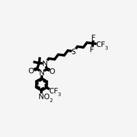 CC1(C)C(=O)N(c2ccc([N+](=O)[O-])c(C(F)(F)F)c2)C(=O)N1CCCCCSCCCC(F)(F)C(F)(F)F